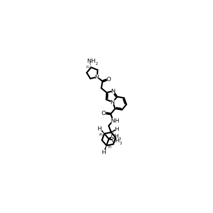 CC1(C)[C@@H]2CC[C@@H](CNC(=O)c3cccc4nc(CC(=O)N5CC[C@H](N)C5)cn34)[C@H]1C2